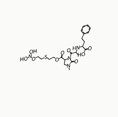 CC(NC(CCc1ccccc1)C(=O)O)C(=O)N1C(=O)N(C)CC1C(=O)OCCSCCON(O)O